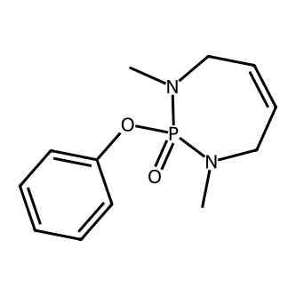 CN1CC=CCN(C)P1(=O)Oc1ccccc1